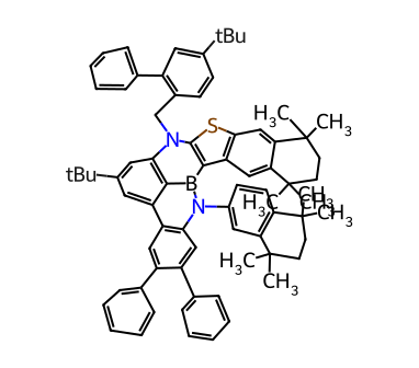 CC(C)(C)c1ccc(CN2c3cc(C(C)(C)C)cc4c3B(c3c2sc2cc5c(cc32)C(C)(C)CCC5(C)C)N(c2ccc3c(c2)C(C)(C)CCC3(C)C)c2cc(-c3ccccc3)c(-c3ccccc3)cc2-4)c(-c2ccccc2)c1